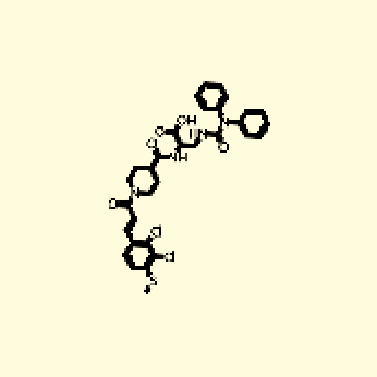 CSc1ccc(C=CC(=O)N2CCC(C(=O)NC(CNC(=O)N(c3ccccc3)c3ccccc3)C(=O)O)CC2)c(Cl)c1Cl